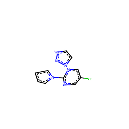 Clc1cnc(-n2cccc2)nc1.c1c[nH]nn1